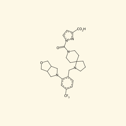 O=C(O)c1ccn(C(=O)N2CCC3(CCCN3Cc3ccc(C(F)(F)F)cc3N3CC4COCC4C3)CC2)n1